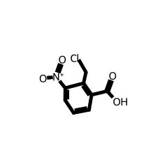 O=C(O)c1cccc([N+](=O)[O-])c1CCl